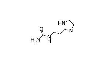 NC(=O)NCCC1=NCCN1